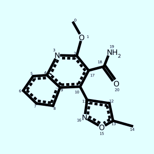 COc1nc2ccccc2c(-c2cc(C)on2)c1C(N)=O